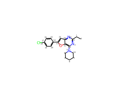 CCc1nc(N2CCCCC2)c2oc(-c3ccc(Cl)cc3)cc2n1